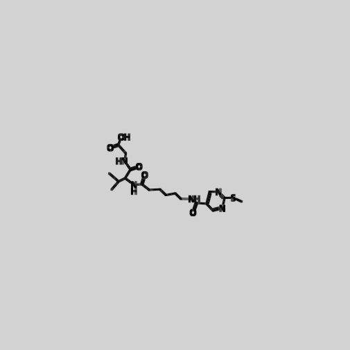 CSc1ncc(C(=O)NCCCCCC(=O)NC(C(=O)NCC(=O)O)C(C)C)cn1